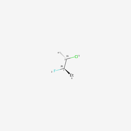 CC[C@@H](F)[C@H](C)Cl